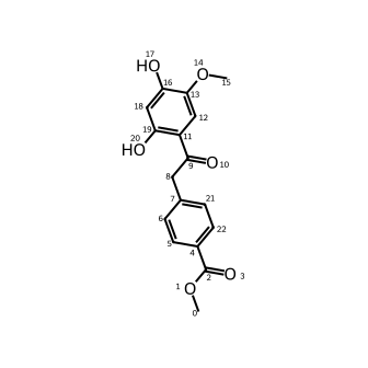 COC(=O)c1ccc(CC(=O)c2cc(OC)c(O)cc2O)cc1